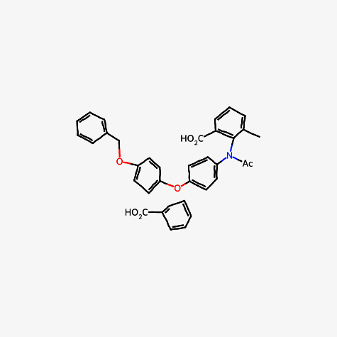 CC(=O)N(c1ccc(Oc2ccc(OCc3ccccc3)cc2)cc1)c1c(C)cccc1C(=O)O.O=C(O)c1ccccc1